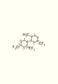 Cc1ccc(C(F)(F)F)cc1-c1ccc(C(F)(F)F)cc1C(F)(F)F